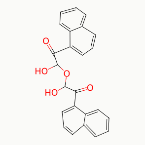 O=C(c1cccc2ccccc12)C(O)OC(O)C(=O)c1cccc2ccccc12